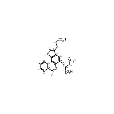 CC(Oc1cc2onc(CCC(=O)O)c2cc1Cl)c1ccccn1.O=S(=O)(O)CCS(=O)(=O)O